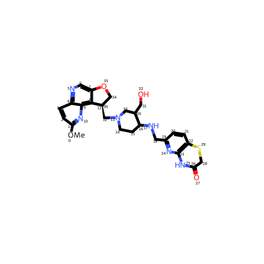 COc1ccc2ncc3c(c2n1)[C@H](CN1CCC(NCc2ccc4c(n2)NC(=O)CS4)C(CO)C1)CO3